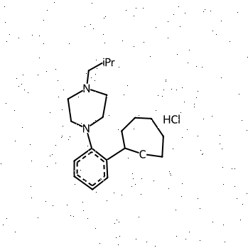 CC(C)CN1CCN(c2ccccc2C2CCCCCC2)CC1.Cl